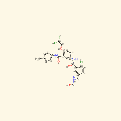 Bc1ccc(NC(=O)c2cc(NC(=O)c3cc(CNC=O)ccc3Cl)ccc2OCC(F)F)cc1